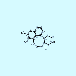 Clc1c(Br)cc2ncnc3c2c1OCC[C@@H]1CNCCN31